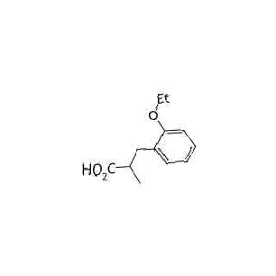 CCOc1ccccc1CC(C)C(=O)O